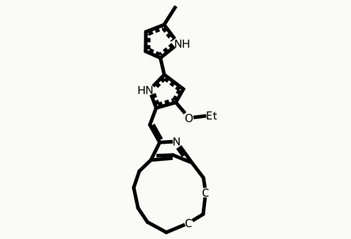 CCOc1cc(-c2ccc(C)[nH]2)[nH]c1C=C1N=C2C=C1CCCCCCCCC2